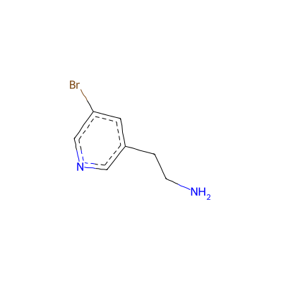 NCCc1cncc(Br)c1